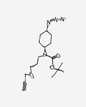 C#CCOCCCN(C(=O)OC(C)(C)C)[C@H]1CC[C@@H](N=[N+]=[N-])CC1